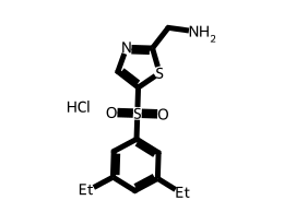 CCc1cc(CC)cc(S(=O)(=O)c2cnc(CN)s2)c1.Cl